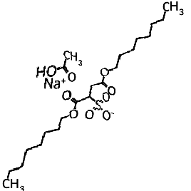 CC(=O)O.CCCCCCCCOC(=O)CC(C(=O)OCCCCCCCC)S(=O)(=O)[O-].[Na+]